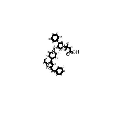 CCn1nc(Cc2ccccc2)cc1C1CCN(C[C@H]2CN(C(C)(C)CC(=O)O)C[C@@H]2c2ccccc2)CC1